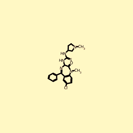 CN1CCC(NC(=S)NC2N=C(c3ccccc3)c3cc(Cl)ccc3N(C)C2=O)C1